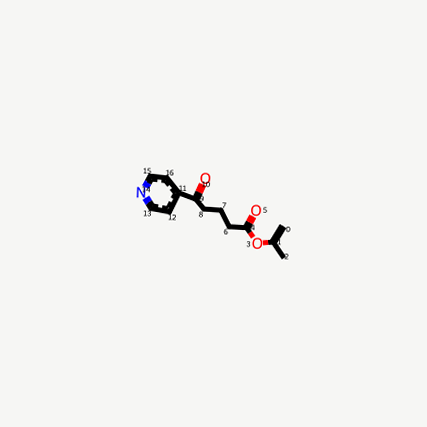 C=C(C)OC(=O)CCCC(=O)c1ccncc1